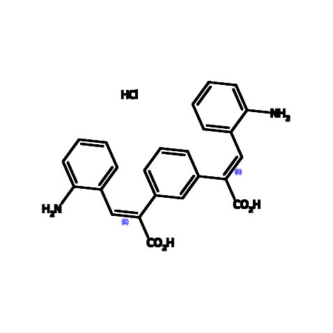 Cl.Nc1ccccc1/C=C(/C(=O)O)c1cccc(/C(=C\c2ccccc2N)C(=O)O)c1